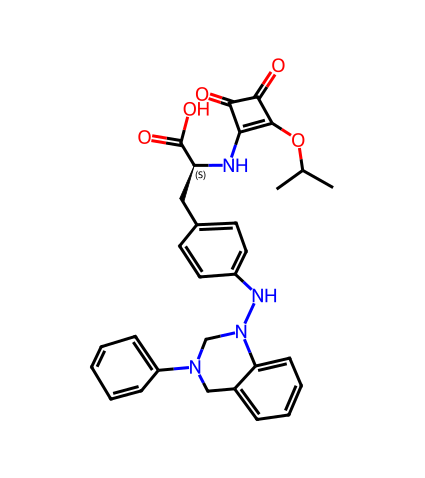 CC(C)Oc1c(N[C@@H](Cc2ccc(NN3CN(c4ccccc4)Cc4ccccc43)cc2)C(=O)O)c(=O)c1=O